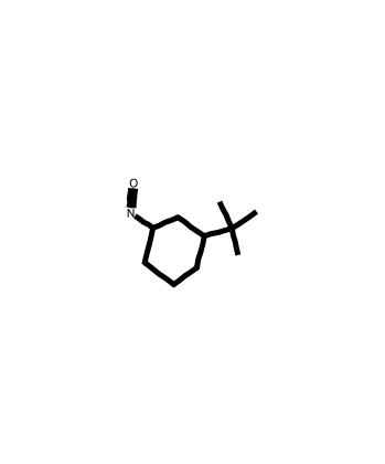 CC(C)(C)C1CCCC(N=O)C1